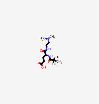 CN(C)CCNC(=O)C(CCC(=O)O)NC(=O)C(C)(C)C